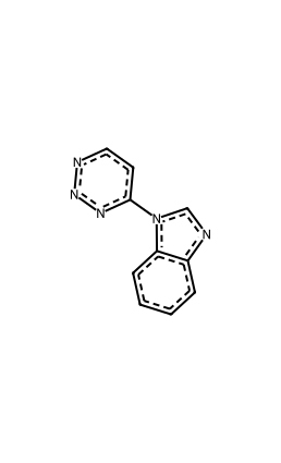 c1ccc2c(c1)ncn2-c1ccnnn1